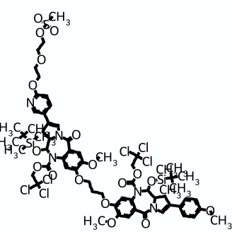 COc1ccc(C2=CN3C(=O)c4cc(OC)c(OCCCOc5cc6c(cc5OC)C(=O)N5C=C(c7ccc(OCCOCCOS(C)(=O)=O)nc7)CC5C(O[Si](C)(C)C(C)(C)C)N6C(=O)OCC(Cl)(Cl)Cl)cc4N(C(=O)OCC(Cl)(Cl)Cl)C(O[Si](C)(C)C(C)(C)C)C3C2)cc1